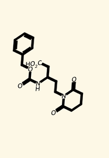 O=C(O)CC(CCN1C(=O)CCCC1=O)NC(=O)OCc1ccccc1